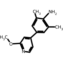 COc1cc(-c2cc(C)c(N)c(C)c2)ccn1